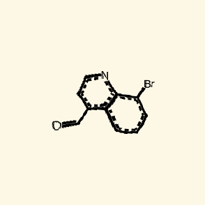 O=Cc1ccnc2c(Br)cccc12